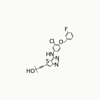 CC(C)(O)C#Cc1cc2ncnc(Nc3ccc(OCc4cccc(F)c4)c(Cl)c3)c2s1